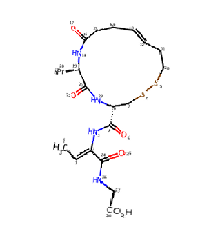 C/C=C(\NC(=O)[C@H]1CSSCC/C=C/CCC(=O)N[C@H](C(C)C)C(=O)N1)C(=O)NCC(=O)O